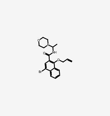 C=CCOc1c(C(=O)NC(C)N2CCOCC2)cc(Br)c2ccccc12